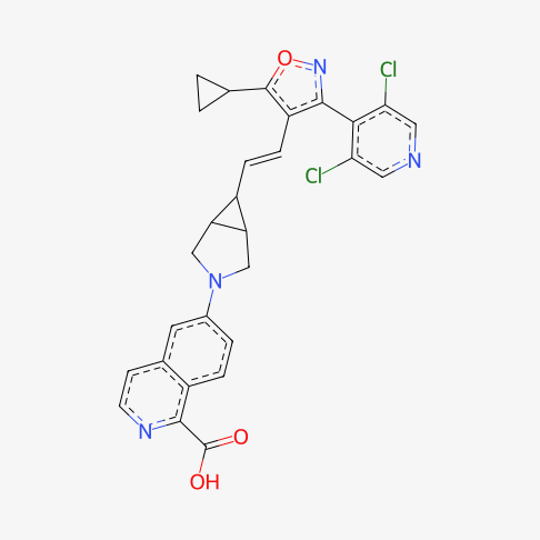 O=C(O)c1nccc2cc(N3CC4C(C=Cc5c(-c6c(Cl)cncc6Cl)noc5C5CC5)C4C3)ccc12